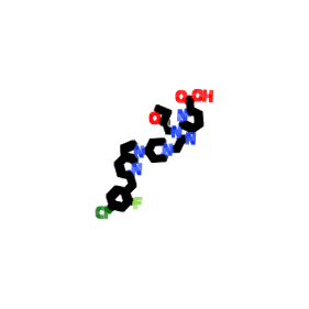 O=C(O)c1ccc2nc(CN3CCC(n4ccc5ccc(Cc6ccc(Cl)cc6F)nc54)CC3)n(C[C@@H]3CCO3)c2n1